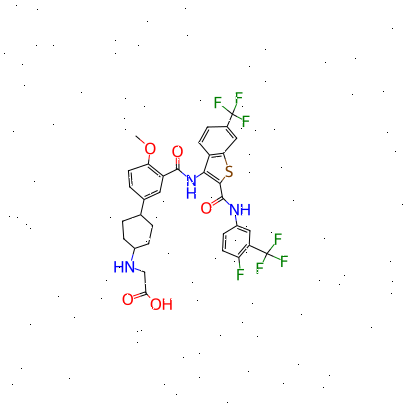 COc1ccc(C2CCC(NCC(=O)O)CC2)cc1C(=O)Nc1c(C(=O)Nc2ccc(F)c(C(F)(F)F)c2)sc2cc(C(F)(F)F)ccc12